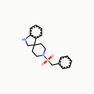 O=S(=O)(Cc1ccccc1)N1CCC2(CC1)CNc1ccccc12